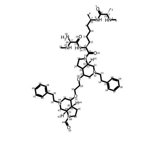 CN[C@@H](C)C(=O)N[C@H](C)CCCC[C@H](NC(=O)[C@H](N)NC)C(=O)N1CCC2C(OCCOC3CN(CCc4ccccc4)C[C@@H]4[C@H]3CCN4C=O)CN(CCc3ccccc3)C[C@H]21